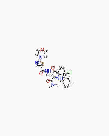 CN(C)C(=O)c1[nH]c2c(-c3ccccc3)c(Cl)ccc2c(=O)c1CNC(=O)c1cnc(N2CCOCC2)s1